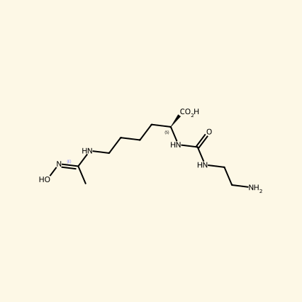 C/C(=N\O)NCCCC[C@H](NC(=O)NCCN)C(=O)O